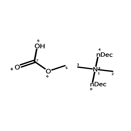 CCCCCCCCCC[N+](C)(C)CCCCCCCCCC.COC(=O)O